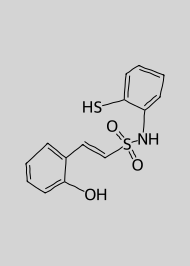 O=S(=O)(/C=C/c1ccccc1O)Nc1ccccc1S